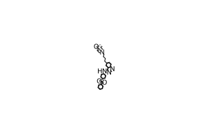 O=S(=O)(c1ccccc1)c1ccc(Nc2ncnc3ccc(CCCCN4CC[S+]([O-])CC4)cc23)cc1